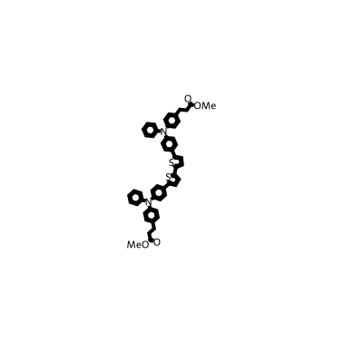 COC(=O)CCc1ccc(N(c2ccccc2)c2ccc(-c3ccc(-c4ccc(-c5ccc(N(c6ccccc6)c6ccc(CCC(=O)OC)cc6)cc5)s4)s3)cc2)cc1